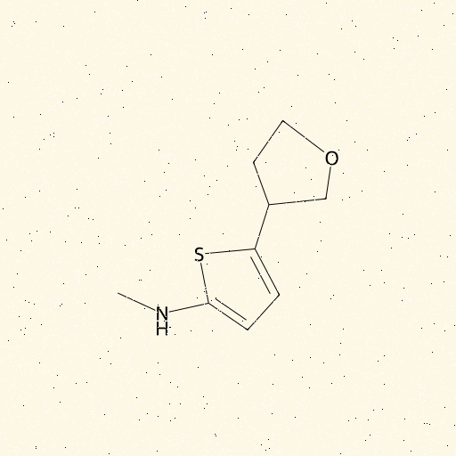 CNc1ccc(C2CCOC2)s1